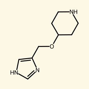 c1nc(COC2CCNCC2)c[nH]1